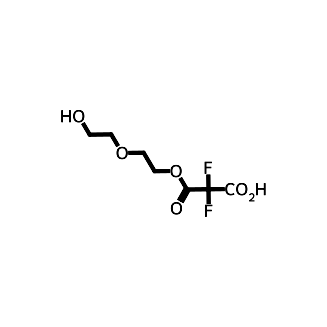 O=C(O)C(F)(F)C(=O)OCCOCCO